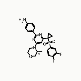 C[C@H]1COCCN1c1cc(C2(S(=O)(=O)c3ccc(F)c(F)c3)CC2)nc(-c2ccc(N)cc2)n1